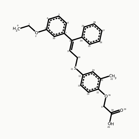 CCOc1cccc(C(=CCSc2ccc(OCC(=O)O)c(C)c2)c2ccccc2)c1